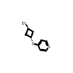 CC[C@H]1C[C@H](Oc2ccncc2)C1